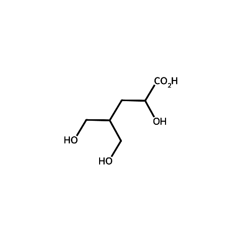 O=C(O)C(O)CC(CO)CO